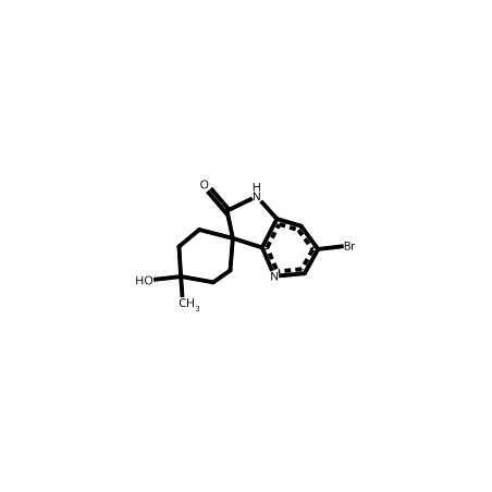 CC1(O)CCC2(CC1)C(=O)Nc1cc(Br)cnc12